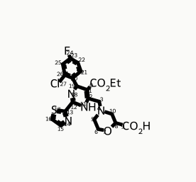 CCOC(=O)C1=C(CN2CCOC(C(=O)O)C2)NC(c2nccs2)=NC1c1ccc(F)cc1Cl